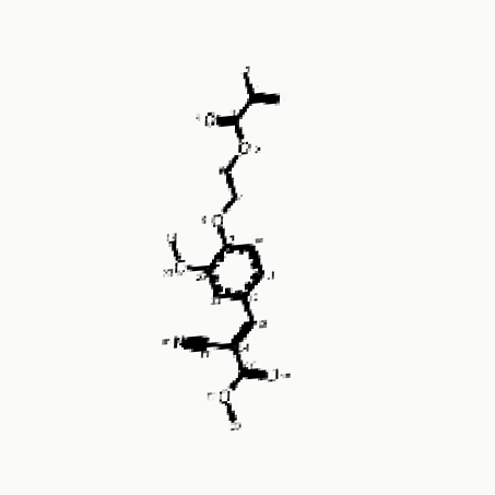 C=C(C)C(=O)OCCOc1ccc(/C=C(\C#N)C(=O)OC)cc1OC